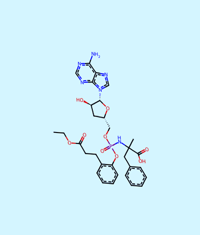 CCOC(=O)CCc1ccccc1OP(=O)(NC(C)(Cc1ccccc1)C(=O)O)OC[C@@H]1C[C@@H](O)[C@H](n2cnc3c(N)ncnc32)O1